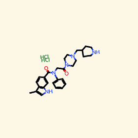 Cc1c[nH]c2cc(C(=O)N(CC(=O)N3CCN(CC4CCNCC4)CC3)c3ccccc3)ccc12.Cl.Cl